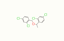 CC(OCc1ccc(Cl)cc1Cl)c1ccc(Cl)cc1Cl